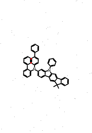 CC1(C)c2ccccc2-c2cc3c(cc21)c1ccc(N(c2ccc(-c4ccccc4)cc2)c2ccccc2-c2ccccc2)cc1n3-c1ccccc1